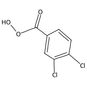 O=C(OO)c1ccc(Cl)c(Cl)c1